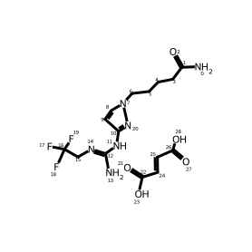 NC(=O)CCCCn1ccc(NC(N)=NCC(F)(F)F)n1.O=C(O)C=CC(=O)O